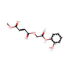 COC(=O)/C=C/C(=O)OCC(=O)Oc1ccccc1O